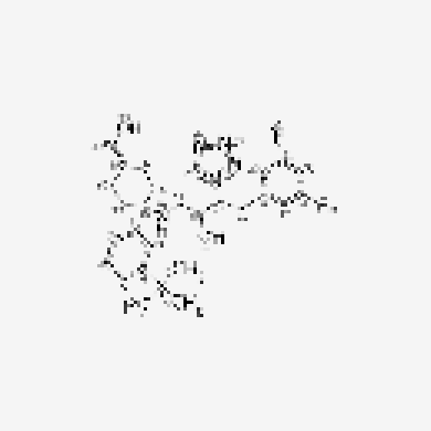 CC(C)(C)c1cccc(C2(NCC(O)C(Cc3cc(F)cc(F)c3)n3cnnn3)CCC(=NO)CC2)c1